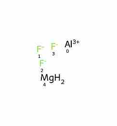 [Al+3].[F-].[F-].[F-].[MgH2]